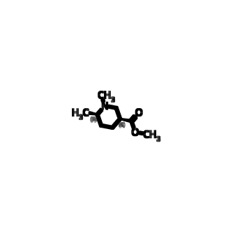 COC(=O)[C@H]1CC[C@@H](C)N(C)C1